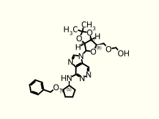 CC1(C)O[C@@H]2[C@@H](COCO)OC(n3cnc4c(N[C@H]5CCC[C@@H]5OCc5ccccc5)nncc43)[C@@H]2O1